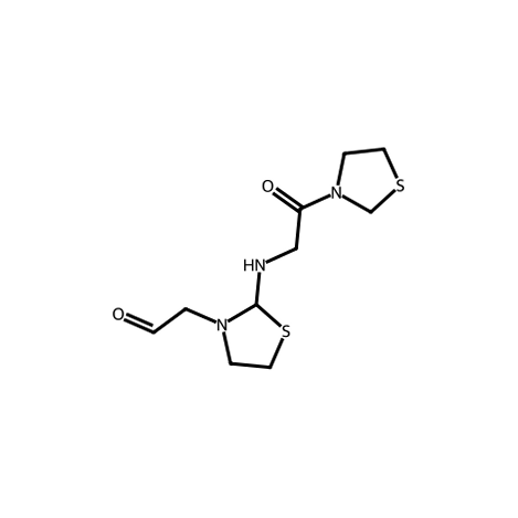 O=CCN1CCSC1NCC(=O)N1CCSC1